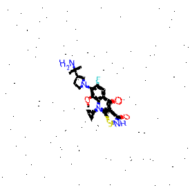 COc1c(N2CCC(C(C)(C)N)C2)c(F)cc2c(=O)c3c(=O)[nH]sc3n(C3CC3)c12